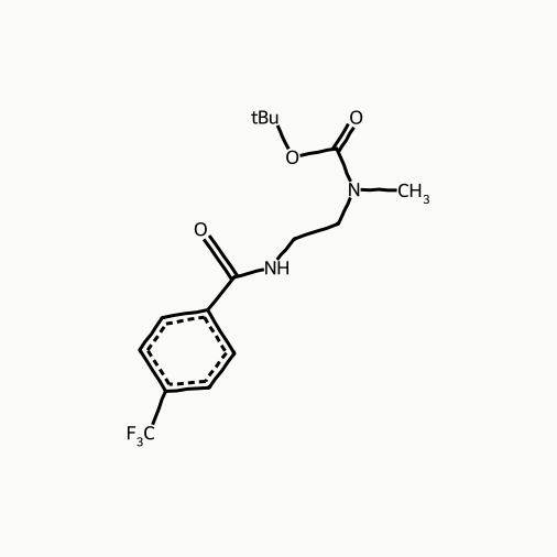 CN(CCNC(=O)c1ccc(C(F)(F)F)cc1)C(=O)OC(C)(C)C